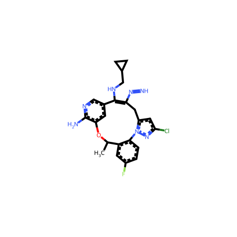 CC1Oc2cc(cnc2N)/C(NCC2CC2)=C(/N=N)Cc2cc(Cl)nn2-c2ccc(F)cc21